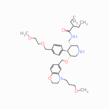 CCC(CC)C(=O)NC[C@@H]1CNC[C@H](OCc2ccc3c(c2)N(CCCOC)CCO3)[C@H]1c1ccc(COCCOC)cc1